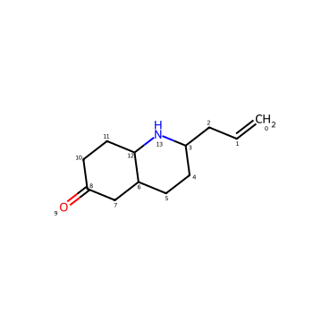 C=CCC1CCC2CC(=O)CCC2N1